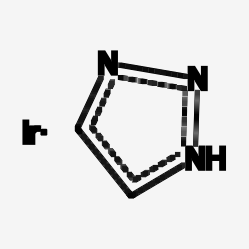 [Ir].c1c[nH]nn1